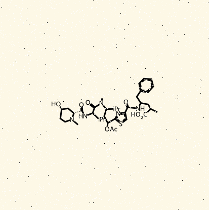 CC(=O)OC(CC(C(C)C)N(C)C(=O)C(NC(=O)[C@H]1C[C@H](O)CCN1C)C(C)C)c1nc(C(=O)NC(Cc2ccccc2)CC(C)C(=O)O)cs1